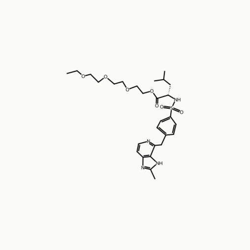 CCOCCOCCOCCOC(=O)[C@H](CC(C)C)NS(=O)(=O)c1ccc(Cc2nccc3nc(C)[nH]c23)cc1